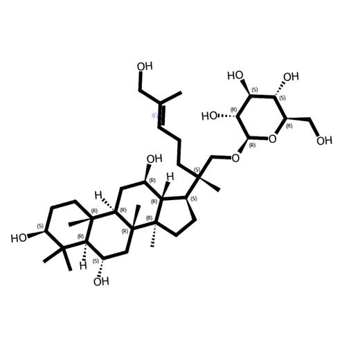 C/C(=C\CC[C@](C)(CO[C@@H]1O[C@H](CO)[C@@H](O)[C@H](O)[C@H]1O)[C@H]1CC[C@]2(C)[C@@H]1[C@H](O)C[C@@H]1[C@@]3(C)CC[C@H](O)C(C)(C)[C@@H]3[C@@H](O)C[C@]12C)CO